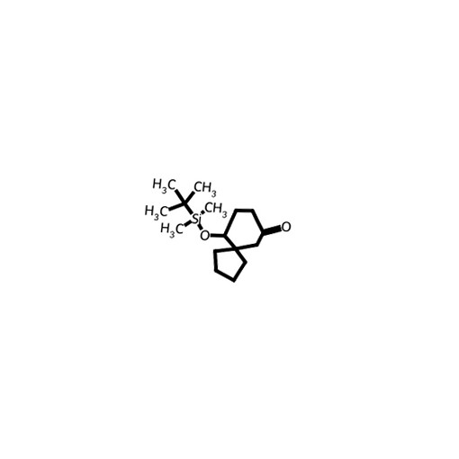 CC(C)(C)[Si](C)(C)OC1CCC(=O)CC12CCCC2